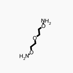 NOCCOCCON